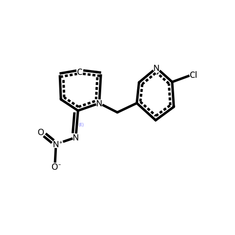 O=[N+]([O-])/N=c1\ccccn1Cc1ccc(Cl)nc1